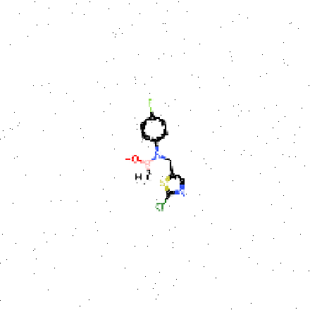 CB(O)N(Cc1cnc(Cl)s1)c1ccc(F)cc1